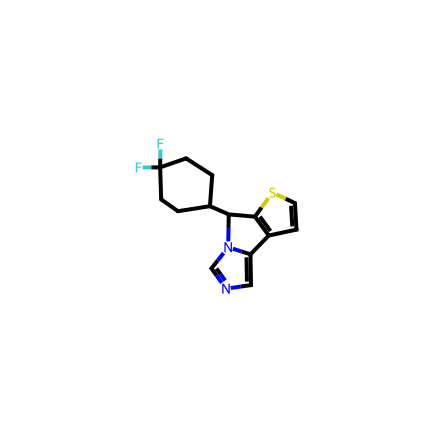 FC1(F)CCC(C2c3sccc3-c3cncn32)CC1